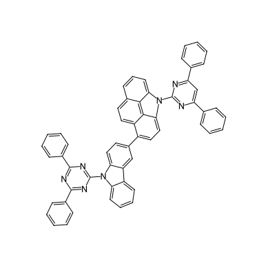 c1ccc(-c2cc(-c3ccccc3)nc(-n3c4cccc5ccc6c(-c7ccc8c(c7)c7ccccc7n8-c7nc(-c8ccccc8)nc(-c8ccccc8)n7)ccc3c6c54)n2)cc1